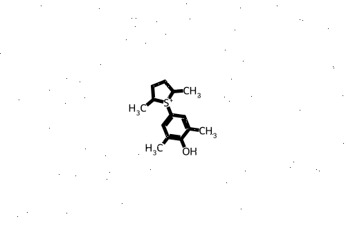 Cc1cc([S+]2C(C)CCC2C)cc(C)c1O